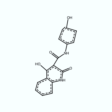 O=C(Nc1ccc(O)cc1)c1c(O)c2ccccc2[nH]c1=O